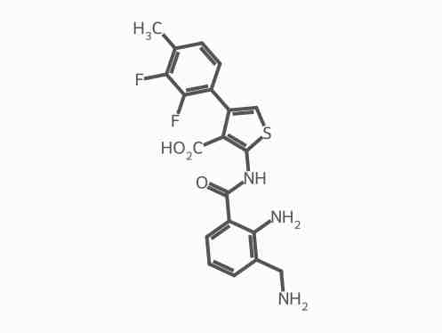 Cc1ccc(-c2csc(NC(=O)c3cccc(CN)c3N)c2C(=O)O)c(F)c1F